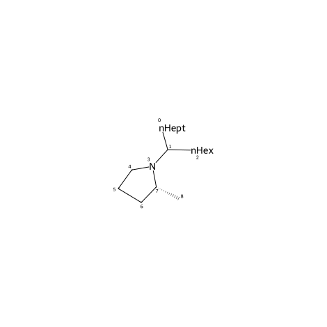 CCCCCCCC(CCCCCC)N1CCC[C@H]1C